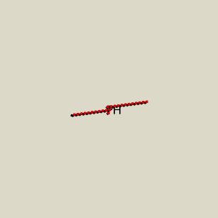 CCCCCCCCCCCCCCCCCCCCCC(CC)PC(CC)CCCCCCCCCCCCCCCCCCCCC